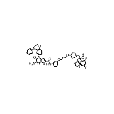 Nc1nc2sc(C(=O)Nc3cccc(OCCCOC4CCN(CC(O)(Cn5cncn5)c5ccc(F)cc5F)CC4)c3)cc2n(-c2ccc3c(c2)N(c2ccccc2)CCO3)c1=O